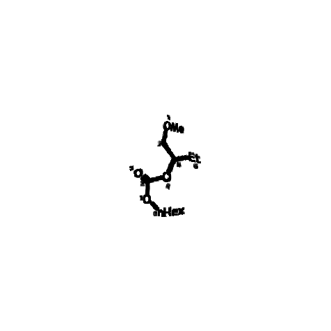 CCCCCCOC(=O)OC(CC)COC